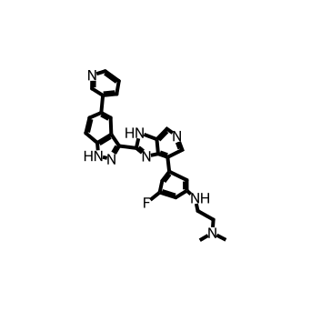 CN(C)CCNc1cc(F)cc(-c2cncc3[nH]c(-c4n[nH]c5ccc(-c6cccnc6)cc45)nc23)c1